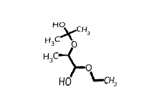 CCOC(O)[C@@H](C)OC(C)(C)O